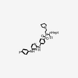 CCCCCCCC(CC)N(CCN1CCCC1)S(=O)(=O)c1ccc(Nc2nccc(Nc3ccc(F)cc3)n2)cc1